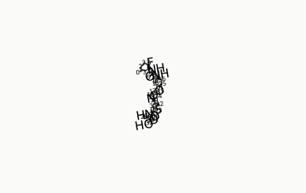 Cc1ccc(F)c(NC(=O)Nc2ccc(Oc3ccnc(-c4csc(C(=O)NC(C)C(=O)O)c4)c3)cc2)c1